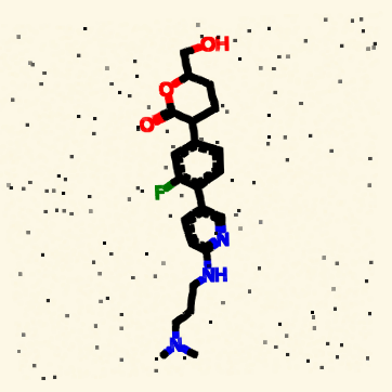 CN(C)CCCNc1ccc(-c2ccc(C3CCC(CO)OC3=O)cc2F)cn1